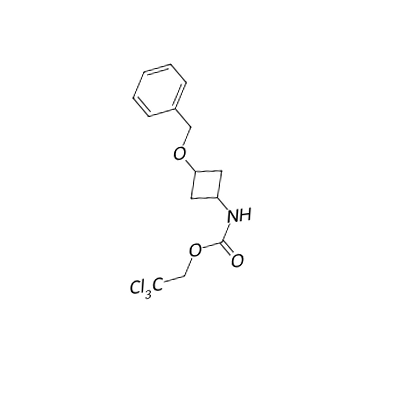 O=C(NC1CC(OCc2ccccc2)C1)OCC(Cl)(Cl)Cl